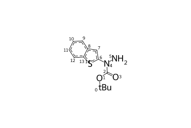 CC(C)(C)OC(=O)N(N)c1cc2ccccc2s1